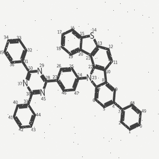 c1ccc(-c2ccc3c(c2)c2ccc4sc5ccccc5c4c2n3-c2ccc(-c3nc(-c4ccccc4)nc(-c4ccccc4)n3)cc2)cc1